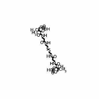 CC1(C)COP(=O)(O)O[C@H]1C(=O)NCCC(=O)NCCSSCCNC(=O)CCNC(=O)[C@@H]1OP(=O)(O)OCC1(C)C